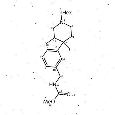 CCCCCCN1CCC(C)(c2cccc(CNC(=O)OC)c2)C(C)C1